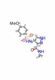 COc1ccc(S(=O)(=O)Nc2c[nH]nc2C(=O)NC(C)C)cc1